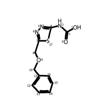 O=C(O)Nc1nnc(COCc2ccccc2)s1